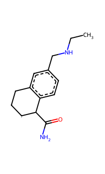 CCNCc1ccc2c(c1)CC[CH]C2C(N)=O